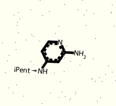 CCC[C@@H](C)Nc1ccnc(N)c1